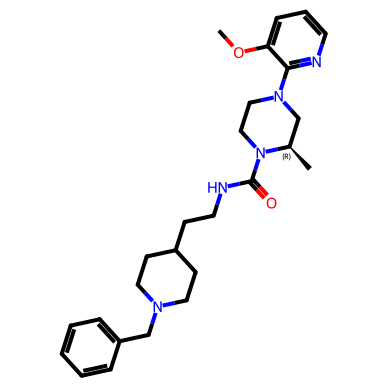 COc1cccnc1N1CCN(C(=O)NCCC2CCN(Cc3ccccc3)CC2)[C@H](C)C1